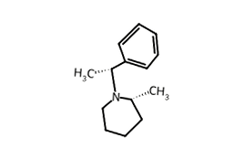 C[C@@H]1CCCCN1[C@H](C)c1ccccc1